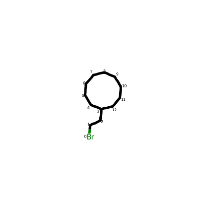 BrCCC1CCCCCCCCC1